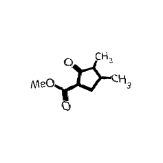 COC(=O)C1CC(C)C(C)C1=O